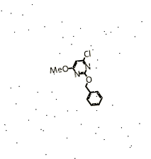 COc1cc(Cl)nc(OCc2ccccc2)n1